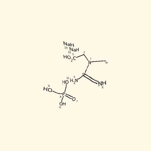 CN(CC(=O)O)C(=N)N.O=P(O)(O)O.[NaH].[NaH]